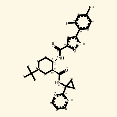 CC(C)(C)N1CC[C@H](NC(=O)c2cc(-c3ccc(F)cc3F)on2)[C@@H](C(=O)NC2(c3ncccn3)CC2)C1